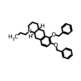 CCCN1CCC[C@@H]2Cc3c(ccc(OCc4ccccc4)c3OCc3ccccc3)C[C@H]21